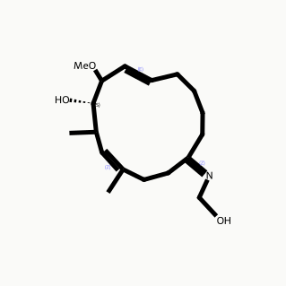 COC1/C=C/CCCC/C(=N/CO)CC/C(C)=C\C(C)[C@@H]1O